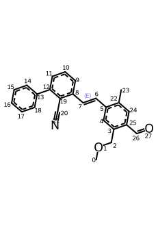 COCc1cc(/C=C/c2cccc(-c3ccccc3)c2C#N)c(C)cc1C=O